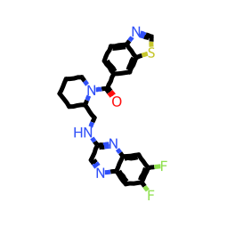 O=C(c1ccc2ncsc2c1)N1CCCCC1CNc1cnc2cc(F)c(F)cc2n1